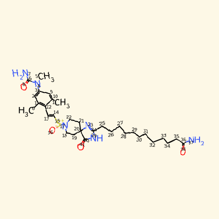 Cc1cc(N(C)C(N)=O)cc(C)c1/C=C/[S+]([O-])N1CCC2(CC1)N=C(CCCCCCCCCCCC(N)=O)NC2=O